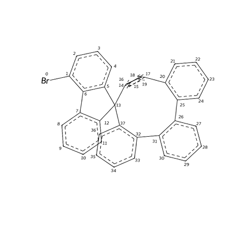 Brc1cccc2c1-c1ccccc1C21c2ccccc2-c2ccccc2-c2ccccc2-c2ccccc21